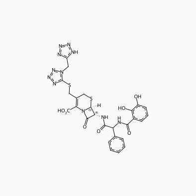 O=C(O)C1=C(CSc2nnnn2Cc2nnn[nH]2)CS[C@H]2[C@H](NC(=O)C(NC(=O)c3cccc(O)c3O)c3ccccc3)C(=O)N12